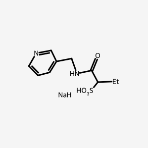 CCC(C(=O)NCc1cccnc1)S(=O)(=O)O.[NaH]